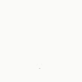 CCCCCCCCCCCCCCCCCCc1ccc(O)cc1